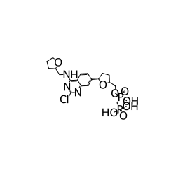 O=P(O)(O)CP(=O)(O)OC[C@@H]1CC[C@H](c2ccc3c(NCC4CCCO4)nc(Cl)nc3c2)O1